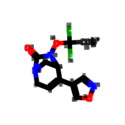 O=C1N2CC=C(c3cnoc3)C(C2)N1OC(F)(F)C(=O)[O-].[Li+]